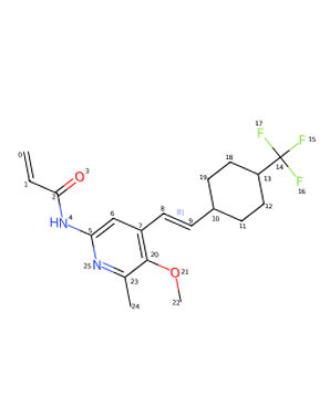 C=CC(=O)Nc1cc(/C=C/C2CCC(C(F)(F)F)CC2)c(OC)c(C)n1